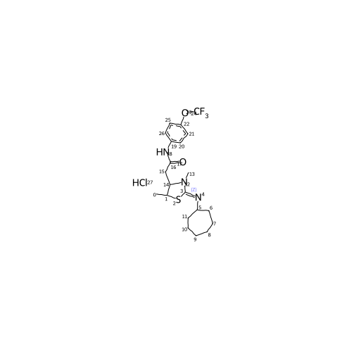 CC1S/C(=N\C2CCCCCC2)N(C)C1CC(=O)Nc1ccc(OC(F)(F)F)cc1.Cl